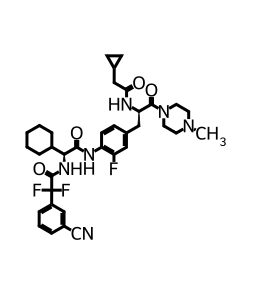 CN1CCN(C(=O)[C@@H](Cc2ccc(NC(=O)[C@@H](NC(=O)C(F)(F)c3cccc(C#N)c3)C3CCCCC3)c(F)c2)NC(=O)CC2CC2)CC1